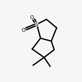 CC1(C)CC2CCS(=O)(=O)C2C1